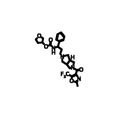 Cc1nc(C(=O)N2CC3CN(CCC(NC(=O)OC4CCOC4)c4ccccc4)C[C@H]3C2)c(C(F)(F)F)o1